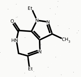 CCC1=Nc2c(C)nn(CC)c2C(=O)NC1